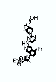 CCS(=O)(=O)C[C@H]1CN(c2ccc(C(C)C)c3cc(Nc4ccnc(N5CCC(OCCO)C(F)(F)C5)n4)ncc23)[C@@H]1C